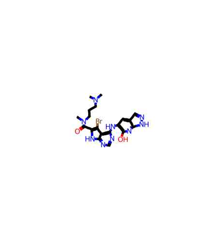 CN(C)CCCN(C)C(=O)c1[nH]c2ncnc(Nc3cc4cn[nH]c4nc3O)c2c1Br